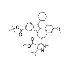 CCOC(=O)c1c(C(C)C)nn(C)c1C1=Cc2cc(OC)ccc2-c2c(C3CCCCC3)c3ccc(C(=O)OC(C)(C)C)cc3n2C1